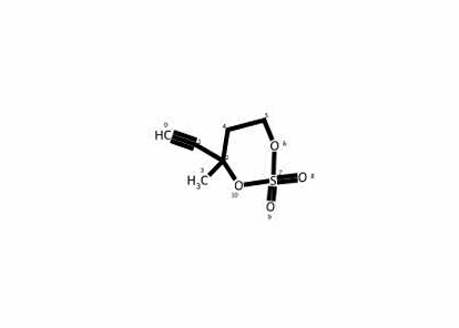 C#CC1(C)CCOS(=O)(=O)O1